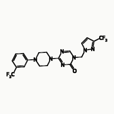 O=c1nc(N2CCN(c3cccc(C(F)(F)F)c3)CC2)ncn1Cn1ccc(C(F)(F)F)n1